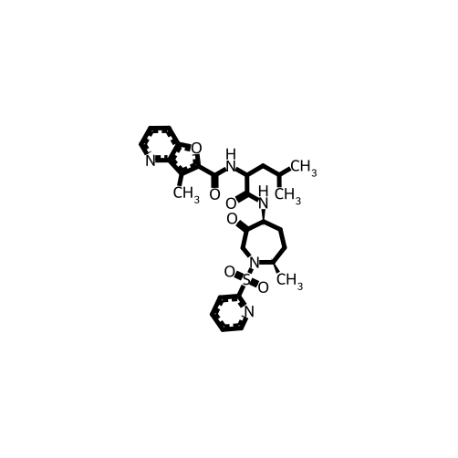 Cc1c(C(=O)NC(CC(C)C)C(=O)N[C@H]2CC[C@@H](C)N(S(=O)(=O)c3ccccn3)CC2=O)oc2cccnc12